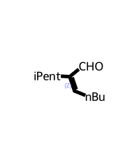 CCCC/C=C(\C=O)C(C)CCC